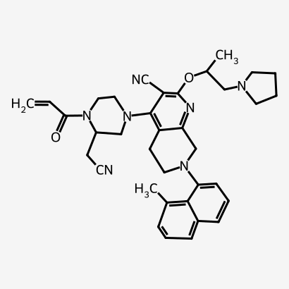 C=CC(=O)N1CCN(c2c(C#N)c(OC(C)CN3CCCC3)nc3c2CCN(c2cccc4cccc(C)c24)C3)CC1CC#N